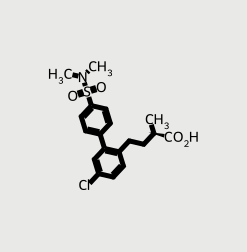 C[C@H](CCc1ccc(Cl)cc1-c1ccc(S(=O)(=O)N(C)C)cc1)C(=O)O